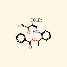 CCCC(=O)C(=CNc1ccccc1C(C)OC(=O)c1ccccc1)C(=O)OCC